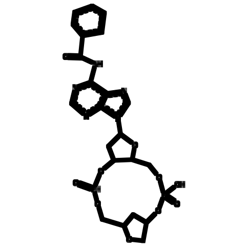 O=C(Nc1ncnc2c1ncn2C1CC2O[PH](=O)OCC3CC(CO3)OP(=O)(O)OCC2O1)c1ccccc1